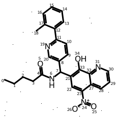 CCCCC(=O)NC(c1ccc(-c2ccccc2C)nc1)c1cc([N+](=O)[O-])c2cccnc2c1O